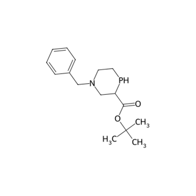 CC(C)(C)OC(=O)C1CN(Cc2ccccc2)CCP1